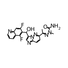 C/C(=N\N(C)C(N)=O)c1ccc2ncc(C(O)c3c(F)cc4ncccc4c3F)n2n1